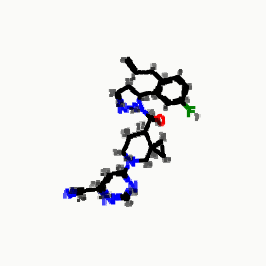 C=CCc1ccc(F)cc1C1CC=NN1C(=O)C1CCN(c2cc(C#N)ncn2)CC12CC2